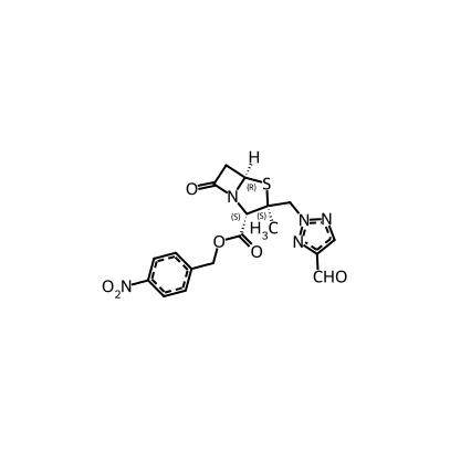 C[C@@]1(Cn2ncc(C=O)n2)S[C@@H]2CC(=O)N2[C@H]1C(=O)OCc1ccc([N+](=O)[O-])cc1